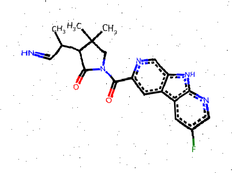 CC(C=N)C1C(=O)N(C(=O)c2cc3c(cn2)[nH]c2ncc(F)cc23)CC1(C)C